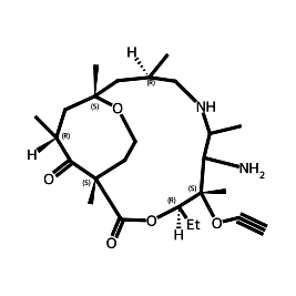 C#CO[C@@]1(C)C(N)C(C)NC[C@H](C)C[C@@]2(C)C[C@@H](C)C(=O)[C@](C)(CCO2)C(=O)O[C@@H]1CC